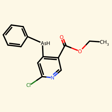 CCOC(=O)c1cnc(Cl)cc1[AsH]c1ccccc1